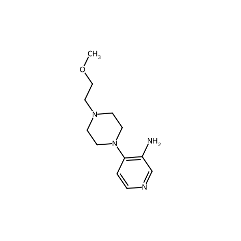 COCCN1CCN(c2ccncc2N)CC1